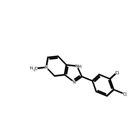 CN1C=Cc2[nH]c(-c3ccc(Cl)c(Cl)c3)nc2C1